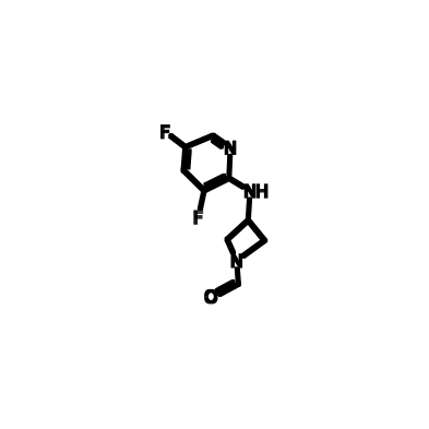 O=CN1CC(Nc2ncc(F)cc2F)C1